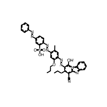 CCCOc1cc(N=Nc2ccc(N=Nc3ccccc3)cc2S(=O)(=O)O)c(C)cc1N=Nc1c(CCC)c(C#N)c2nc3ccccc3n2c1O